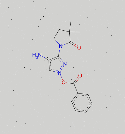 CC1(C)CCN(c2nn(OC(=O)c3ccccc3)cc2N)C1=O